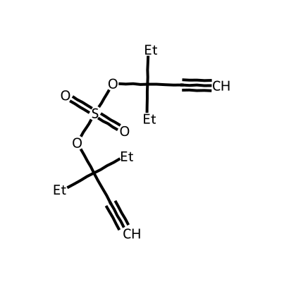 C#CC(CC)(CC)OS(=O)(=O)OC(C#C)(CC)CC